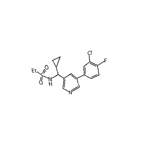 CCS(=O)(=O)NC(c1cncc(-c2ccc(F)c(Cl)c2)c1)C1CC1